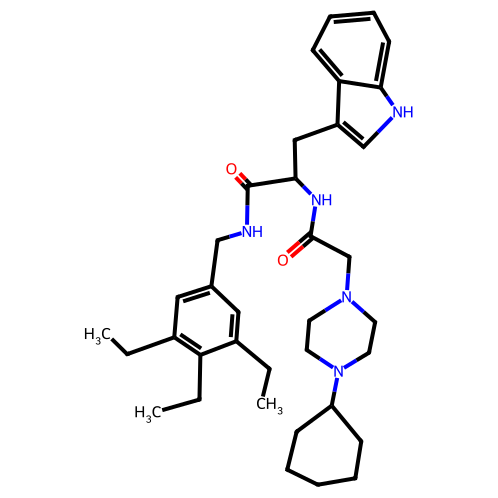 CCc1cc(CNC(=O)C(Cc2c[nH]c3ccccc23)NC(=O)CN2CCN(C3CCCCC3)CC2)cc(CC)c1CC